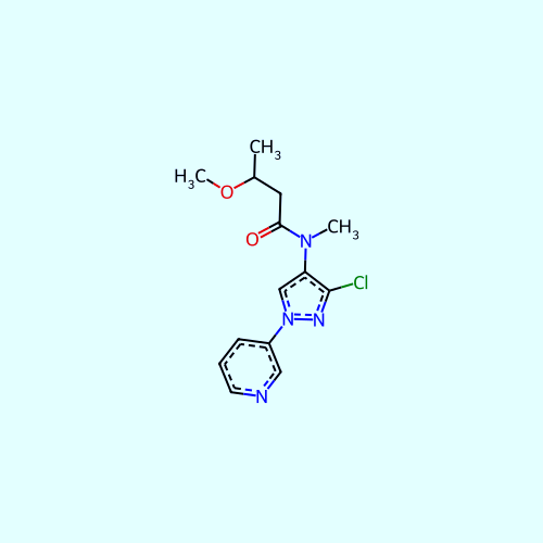 COC(C)CC(=O)N(C)c1cn(-c2cccnc2)nc1Cl